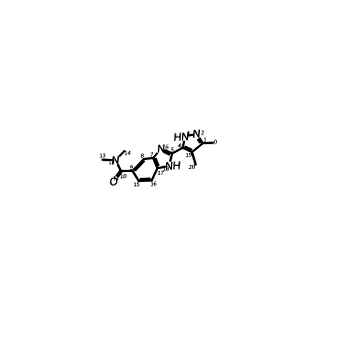 Cc1n[nH]c(-c2nc3cc(C(=O)N(C)C)ccc3[nH]2)c1C